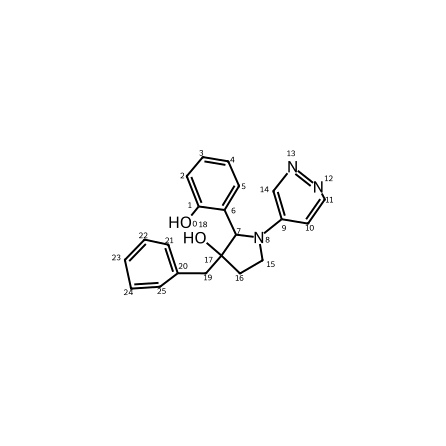 Oc1ccccc1C1N(c2ccnnc2)CCC1(O)Cc1ccccc1